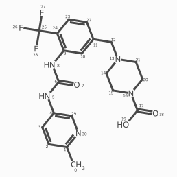 Cc1ccc(NC(=O)Nc2cc(CN3CCN(C(=O)O)CC3)ccc2C(F)(F)F)cn1